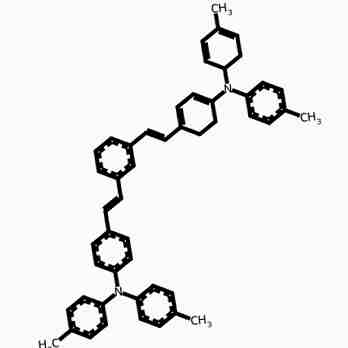 CC1=CCC(N(C2=CC=C(C=Cc3cccc(C=Cc4ccc(N(c5ccc(C)cc5)c5ccc(C)cc5)cc4)c3)CC2)c2ccc(C)cc2)C=C1